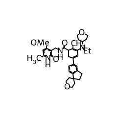 CCN(C1=C(C)C(C(=O)NCc2c(OC)cc(C)[nH]c2=O)CC(c2ccc3c(c2)CCC32CCOCC2)=C1)C1CCOCC1